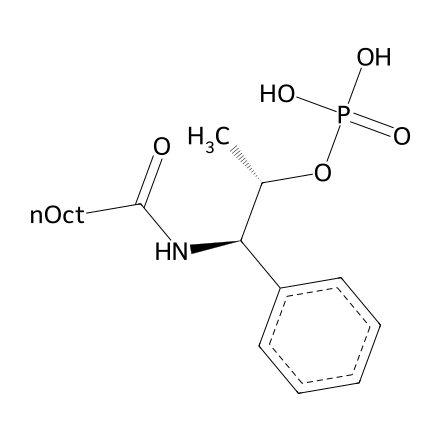 CCCCCCCCC(=O)N[C@H](c1ccccc1)[C@H](C)OP(=O)(O)O